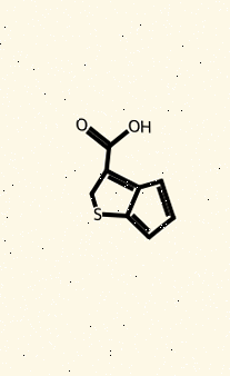 O=C(O)C1=C2C=CC=C2SC1